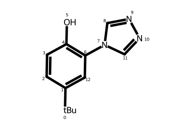 CC(C)(C)c1ccc(O)c(-n2cnnc2)c1